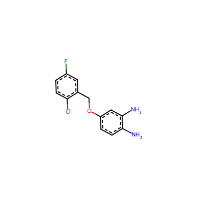 Nc1ccc(OCc2cc(F)ccc2Cl)cc1N